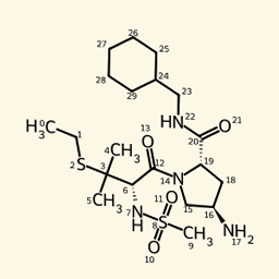 CCSC(C)(C)[C@@H](NS(C)(=O)=O)C(=O)N1C[C@H](N)C[C@H]1C(=O)NCC1CCCCC1